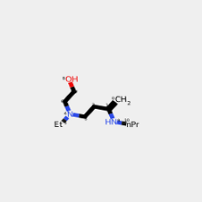 C=C(CCN(CC)CCO)NCCC